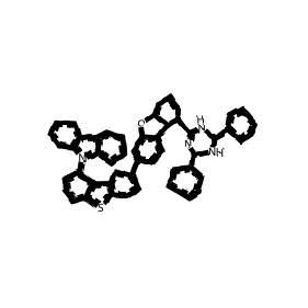 C1=CC(C2=NC(c3ccccc3)NC(c3ccccc3)N2)C2C(=C1)Oc1cc(-c3ccc4sc5cccc(-n6c7ccccc7c7ccccc76)c5c4c3)ccc12